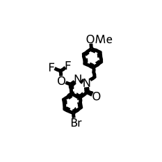 COc1ccc(Cn2nc(OC(F)F)c3ccc(Br)cc3c2=O)cc1